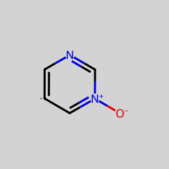 [O-][n+]1c[c]cnc1